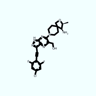 C[C@@H]1OCC2(CCN(c3nc4[nH]nc(C#Cc5c(F)cc(Cl)cc5F)c4nc3CO)CC2)[C@@H]1N